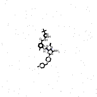 C=C/N=C1/C(N)=NC(N2CCN(CC3CCN(C)CC3)CC2)=N/C1=C(/N)Nc1cc(C(=O)Nc2cc(C(C)(C)C)n[nH]2)ccc1C